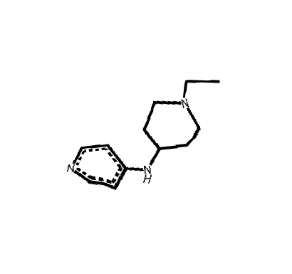 CCN1CCC(Nc2ccncc2)CC1